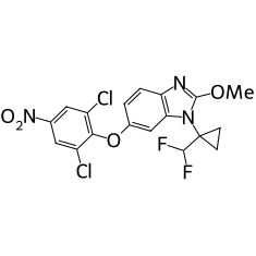 COc1nc2ccc(Oc3c(Cl)cc([N+](=O)[O-])cc3Cl)cc2n1C1(C(F)F)CC1